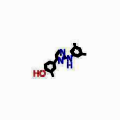 Cc1cc(C)cc(Nc2nccc(-c3ccc(O)c(C)c3)n2)c1